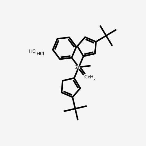 CC(C)(C)C1=CC[C]([Zr]([CH3])(=[GeH2])([C]2=CC(C(C)(C)C)=CC2)[c]2ccccc2)=C1.Cl.Cl